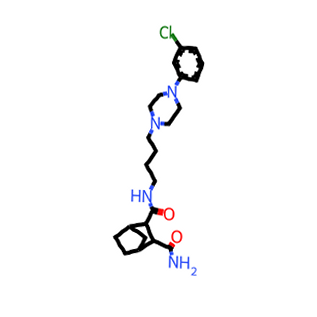 NC(=O)C1C2CCC(C2)C1C(=O)NCCCCN1CCN(c2cccc(Cl)c2)CC1